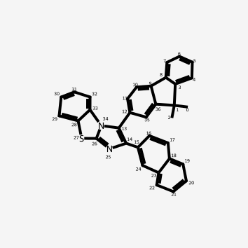 CC1(C)c2ccccc2-c2ccc(-c3c(-c4ccc5ccccc5c4)nc4sc5ccccc5n34)cc21